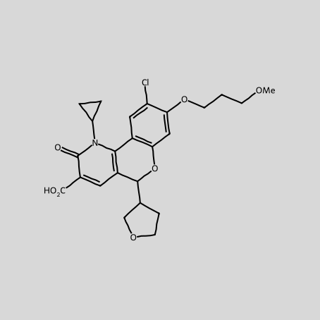 COCCCOc1cc2c(cc1Cl)-c1c(cc(C(=O)O)c(=O)n1C1CC1)C(C1CCOC1)O2